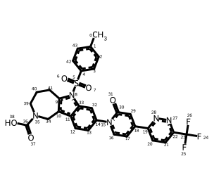 Cc1ccc(S(=O)(=O)n2c3c(c4ccc(-n5ccc(-c6ccc(C(F)(F)F)nn6)cc5=O)cc42)CN(C(=O)O)CCC3)cc1